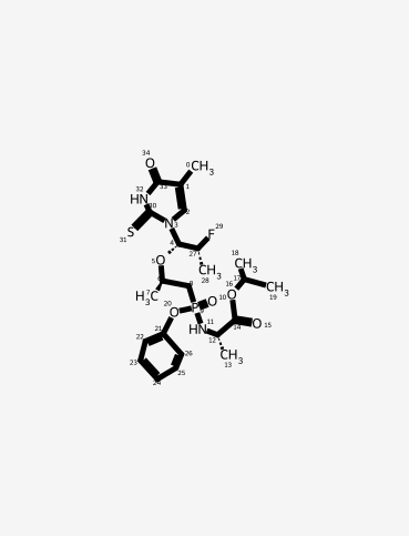 Cc1cn([C@@H](O[C@H](C)CP(=O)(N[C@@H](C)C(=O)OC(C)C)Oc2ccccc2)[C@@H](C)F)c(=S)[nH]c1=O